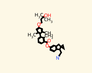 Cc1cc(OCCC(C)(C)O)cc(C)c1-c1cccc(C(=O)Oc2ccc3c(c2)CC2(CC2)C3CC#N)c1C